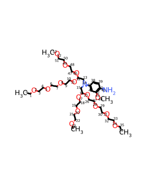 CCOCCOCCOCCOC(CN(CC(OCCOCCOC)OCCOCCOCCOCC)c1ccc(N)c(OC)c1)OCCOCCOC